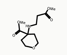 COC(=O)CCNC1(C(=O)OC)CCOCC1